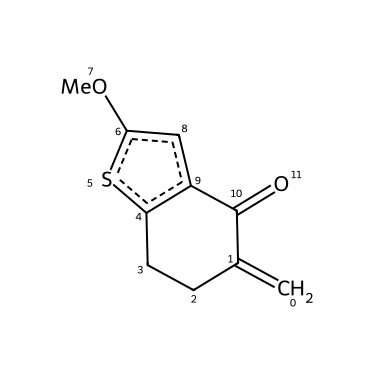 C=C1CCc2sc(OC)cc2C1=O